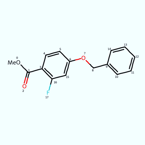 COC(=O)c1ccc(OCc2ccccc2)cc1F